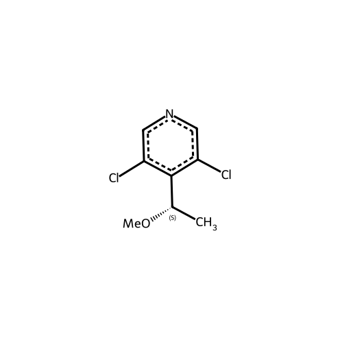 CO[C@@H](C)c1c(Cl)cncc1Cl